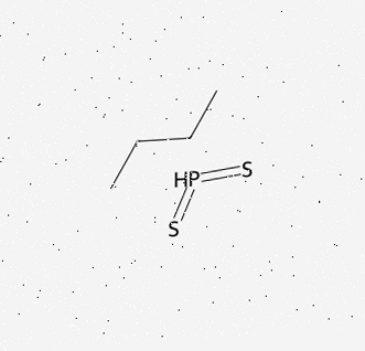 CCCC.S=[PH]=S